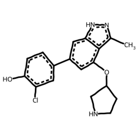 Cc1n[nH]c2cc(-c3ccc(O)c(Cl)c3)cc(OC3CCNC3)c12